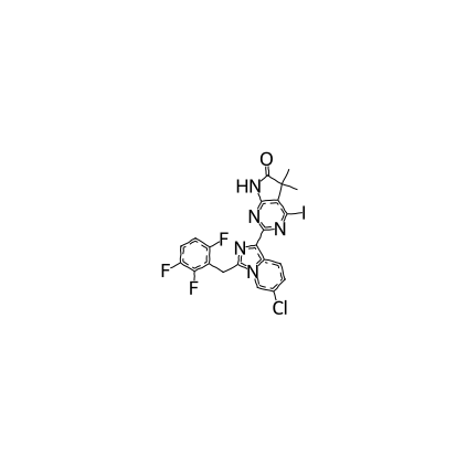 CC1(C)C(=O)Nc2nc(-c3nc(Cc4c(F)ccc(F)c4F)n4cc(Cl)ccc34)nc(I)c21